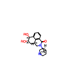 O=C1c2cccc3c2[C@H](C[C@@H](O)[C@H]3O)CN1[C@@H]1CN2CCC1CC2